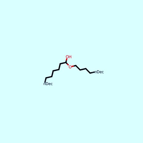 CCCCCCCCCCCCCCCC(O)OCCCCCCCCCCCCCC